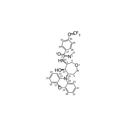 CN=S(=O)(N[C@H]1COCC[C@@H](N2c3ccccc3Oc3ccccc32)[C@H]1O)c1ccc(OC(F)(F)F)cc1